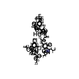 CCC/C(=N/OCC)C1=C(O)CC(CC(C)SCC)CC1=O.CCOC(=O)C1=NN(c2ccc(Cl)cc2Cl)C(C)(C(=O)OCC)C1.Cc1nn(C)c(O)c1C(=O)c1ccc(C(F)(F)F)cc1S(C)(=O)=O